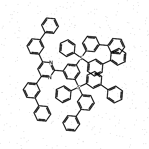 c1ccc(-c2cccc(-c3cc(-c4cccc(-c5ccccc5)c4)nc(-c4cc(S(c5ccccc5)(c5cccc(-c6ccccc6)c5)c5cccc(-c6ccccc6)c5)cc(S(c5ccccc5)(c5cccc(-c6ccccc6)c5)c5cccc(-c6ccccc6)c5)c4)n3)c2)cc1